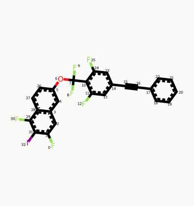 Fc1cc2cc(OC(F)(F)c3c(F)cc(C#Cc4ccccc4)cc3F)ccc2c(F)c1I